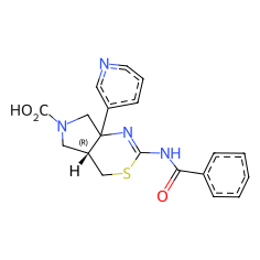 O=C(NC1=NC2(c3cccnc3)CN(C(=O)O)C[C@H]2CS1)c1ccccc1